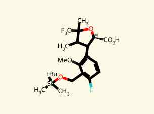 COc1c(C2C(C)C(C)(C(F)(F)F)O[C@H]2C(=O)O)ccc(F)c1CO[Si](C)(C)C(C)(C)C